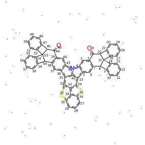 O=C1c2cc3c(cc2C2c4ccccc4C24c2ccccc2C14)c1c2sc4cccc5sc(c2c45)c2c4cc5c(cc4n3c12)C(=O)C1c2ccccc2C12c1ccccc1C52